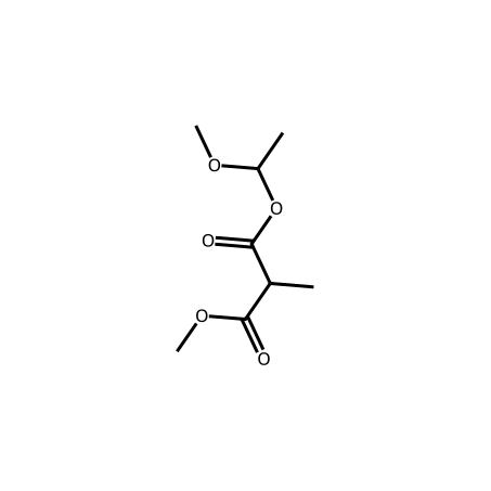 COC(=O)C(C)C(=O)OC(C)OC